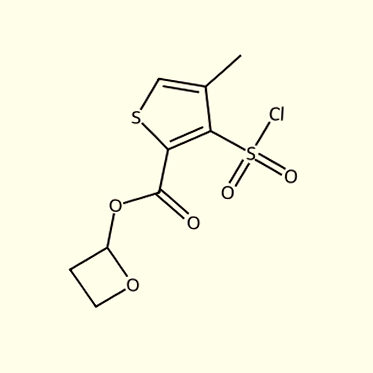 Cc1csc(C(=O)OC2CCO2)c1S(=O)(=O)Cl